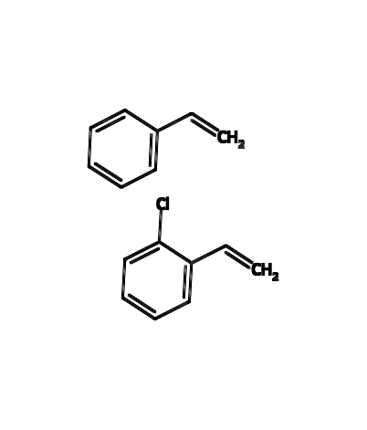 C=Cc1ccccc1.C=Cc1ccccc1Cl